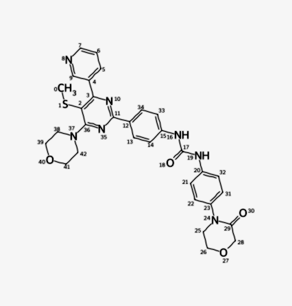 CSc1c(-c2cccnc2)nc(-c2ccc(NC(=O)Nc3ccc(N4CCOCC4=O)cc3)cc2)nc1N1CCOCC1